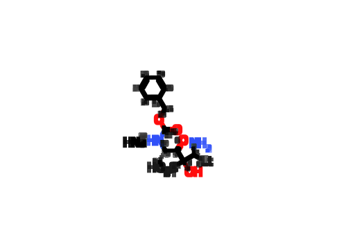 CCC(N)C(O)(C(=O)[C@H](CC(C)C)NC(=O)OCc1ccccc1)S(=O)(=O)O.[NaH]